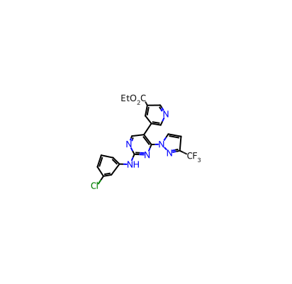 CCOC(=O)c1cncc(-c2cnc(Nc3cccc(Cl)c3)nc2-n2ccc(C(F)(F)F)n2)c1